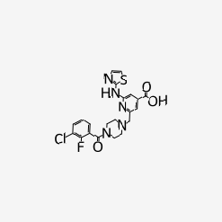 O=C(O)c1cc(CN2CCN(C(=O)c3cccc(Cl)c3F)CC2)nc(Nc2nccs2)c1